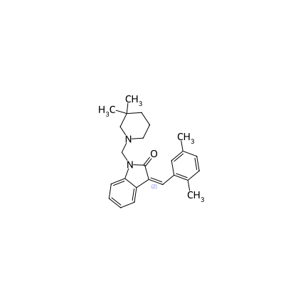 Cc1ccc(C)c(/C=C2\C(=O)N(CN3CCCC(C)(C)C3)c3ccccc32)c1